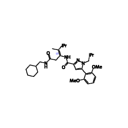 COc1cccc(OC)c1-c1cc(C(=O)N/C(CC(=O)NCC2CCCCC2)=C(/C)C(C)C)nn1CC(C)C